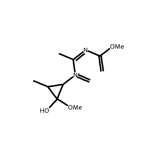 C=C(/N=C(/C)[N+](=C)C1C(C)C1(O)OC)OC